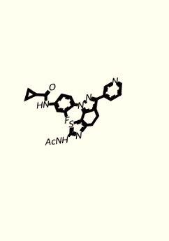 CC(=O)Nc1nc2c(s1)-c1c(c(-c3cccnc3)nn1-c1ccc(NC(=O)C3CC3)cc1F)CC2